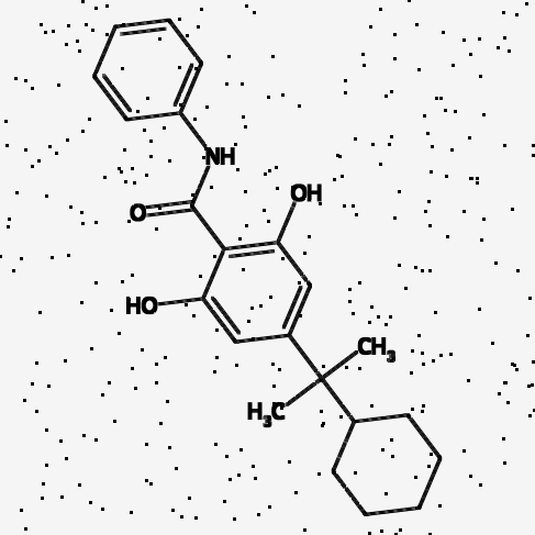 CC(C)(c1cc(O)c(C(=O)Nc2ccccc2)c(O)c1)C1CCCCC1